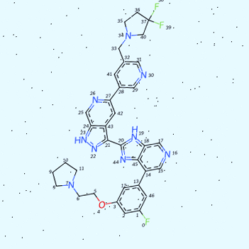 Fc1cc(OCCN2CCCC2)cc(-c2cncc3[nH]c(-c4n[nH]c5cnc(-c6cncc(CN7CCC(F)(F)C7)c6)cc45)nc23)c1